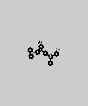 C[Si](C)(C)c1ccc2c(c1)c1cc(-n3c4ccccc4c4ccccc43)ccc1n2-c1ccc(-c2nc(-c3ccccc3)cc(-c3cccc(C#N)c3)n2)cc1